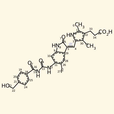 Cc1[nH]c(/C=C2\C(=O)Nc3cc(NC(=O)NC(=O)c4ccc(CO)cc4)c(F)cc32)c(C)c1CCC(=O)O